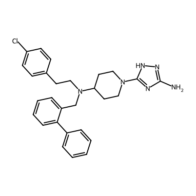 Nc1n[nH]c(N2CCC(N(CCc3ccc(Cl)cc3)Cc3ccccc3-c3ccccc3)CC2)n1